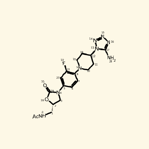 CC(=O)NC[C@H]1CN(c2ccc(N3CCC(n4nnnc4N)CC3)c(F)c2)C(=O)O1